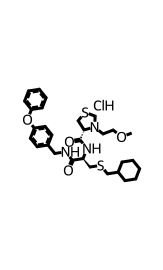 COCCN1CSC[C@H]1C(=O)N[C@@H](CSCC1CCCCC1)C(=O)NCc1ccc(Oc2ccccc2)cc1.Cl